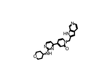 O=c1cc(-c2ccnc(NC3CCOCC3)n2)ccn1Cc1cc2ccncc2[nH]1